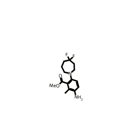 COC(=O)c1c(N2CCCC(F)(F)CC2)ccc(N)c1C